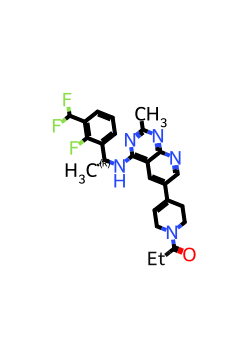 CCC(=O)N1CC=C(c2cnc3nc(C)nc(N[C@H](C)c4cccc(C(F)F)c4F)c3c2)CC1